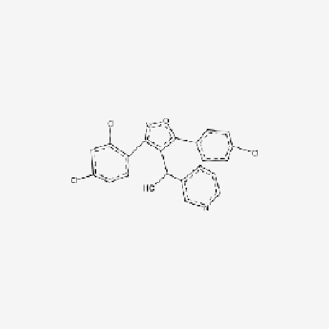 OC(c1cccnc1)c1c(-c2ccc(Cl)cc2Cl)noc1-c1ccc(Cl)cc1